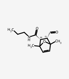 CCCNC(=O)[C@@H]1[C@H](C=O)C2(C)C=CC1(C)O2